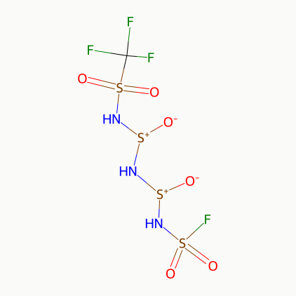 O=S(=O)(F)N[S+]([O-])N[S+]([O-])NS(=O)(=O)C(F)(F)F